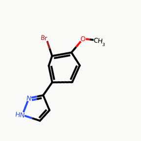 COc1ccc(-c2cc[nH]n2)cc1Br